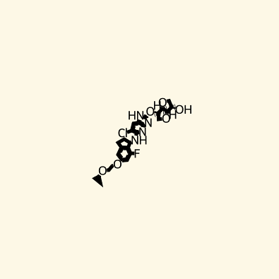 O[C@@H]1CO[C@H]2[C@@H]1OC[C@H]2Oc1nc2nc(NC3CCc4cc(OCCOC5CC5)cc(F)c43)c(Cl)cc2[nH]1